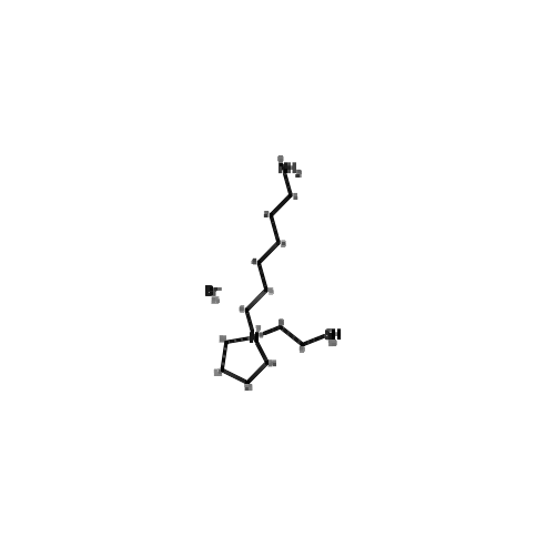 NCCCCCC[N+]1(CCS)CCCC1.[Br-]